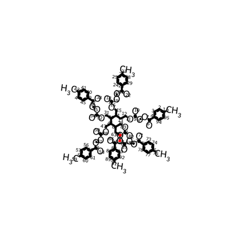 Cc1ccc(C(=O)OOC(=O)OCCC(COC(=O)OOC(=O)c2ccc(C)cc2)C(COC(=O)OOC(=O)c2ccc(C)cc2)C(COC(=O)OOC(=O)c2ccc(C)cc2)C(CCOC(=O)OOC(=O)c2ccc(C)cc2)COC(=O)OOC(=O)c2ccc(C)cc2)cc1